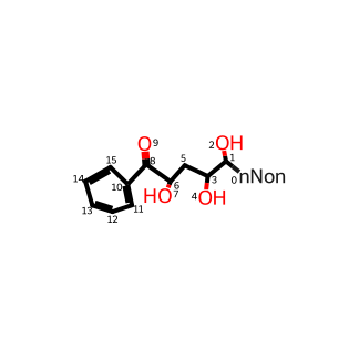 CCCCCCCCCC(O)C(O)CC(O)C(=O)c1ccccc1